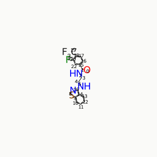 O=C(NCCNc1nsc2ccccc12)c1ccc(C(F)(F)F)c(F)c1